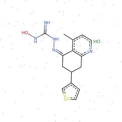 Cc1ccnc2c1/C(=N\NC(=N)NO)CC(c1ccsc1)C2.Cl